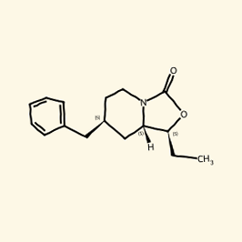 CC[C@@H]1OC(=O)N2CC[C@H](Cc3ccccc3)C[C@@H]12